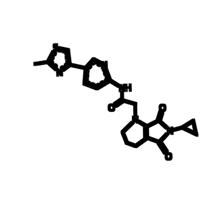 Cc1nc(-c2ccc(NC(=O)CN3CCCC4=C3C(=O)N(C3CC3)C4=O)nc2)cs1